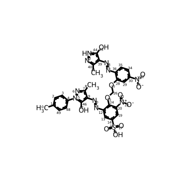 Cc1ccc(-n2nc(C)c(N=Nc3cc(S(=O)(=O)O)cc([N+](=O)[O-])c3OCOc3cc([N+](=O)[O-])ccc3/N=N/c3c(C)n[nH]c3O)c2O)cc1